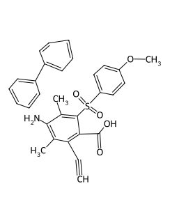 C#Cc1c(C)c(N)c(C)c(S(=O)(=O)c2ccc(OC)cc2)c1C(=O)O.c1ccc(-c2ccccc2)cc1